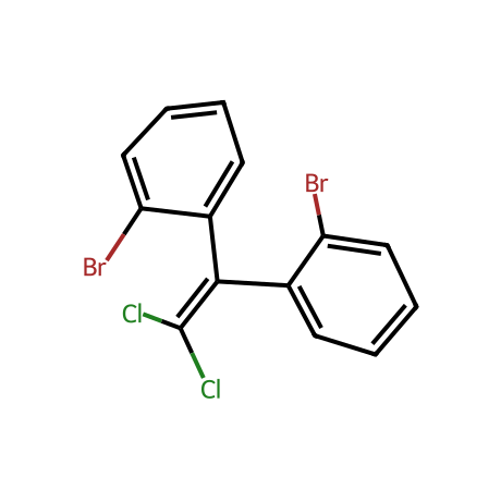 ClC(Cl)=C(c1ccccc1Br)c1ccccc1Br